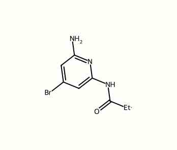 C[CH]C(=O)Nc1cc(Br)cc(N)n1